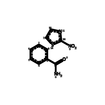 NC(=O)c1ccccc1.O=[N+]([O-])c1nccs1